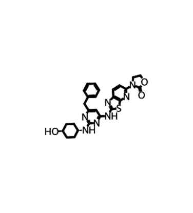 O=C1OCCN1c1ccc2nc(Nc3cc(Cc4ccccc4)nc(N[C@H]4CC[C@H](O)CC4)n3)sc2n1